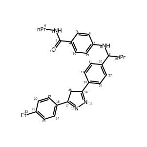 CCCNC(=O)c1ccc(NC(c2ccc(C3=NN=C(c4ccc(CC)cc4)C3)cc2)C(C)C)cc1